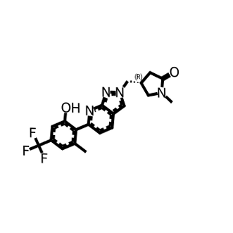 Cc1cc(C(F)(F)F)cc(O)c1-c1ccc2cn(C[C@@H]3CC(=O)N(C)C3)nc2n1